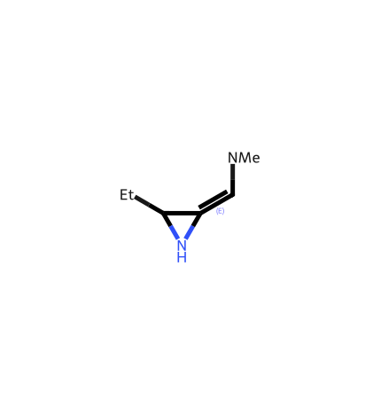 CCC1N/C1=C/NC